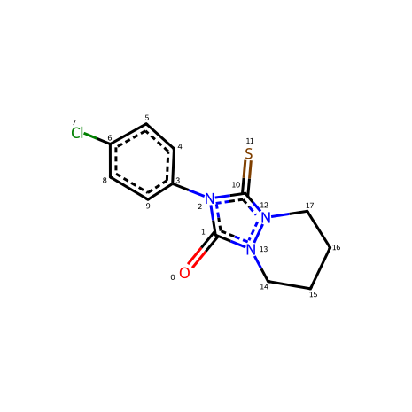 O=c1n(-c2ccc(Cl)cc2)c(=S)n2n1CCCC2